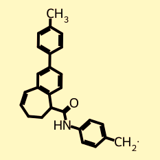 [CH2]c1ccc(NC(=O)C2CCC=Cc3cc(-c4ccc(C)cc4)ccc32)cc1